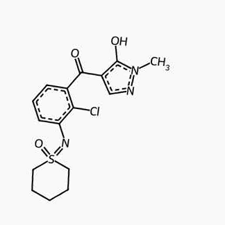 Cn1ncc(C(=O)c2cccc(N=S3(=O)CCCCC3)c2Cl)c1O